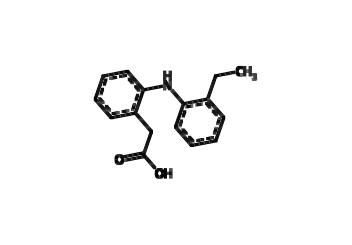 CCc1ccccc1Nc1ccccc1CC(=O)O